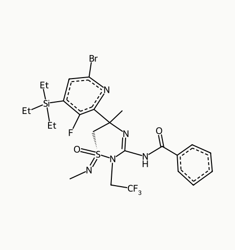 CC[Si](CC)(CC)c1cc(Br)nc(C2(C)C[S@@](=O)(=NC)N(CC(F)(F)F)C(NC(=O)c3ccccc3)=N2)c1F